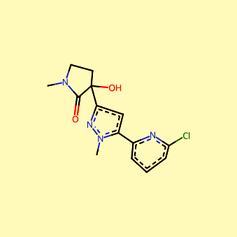 CN1CCC(O)(c2cc(-c3cccc(Cl)n3)n(C)n2)C1=O